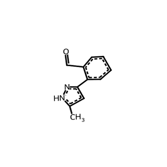 Cc1cc(-c2ccccc2C=O)n[nH]1